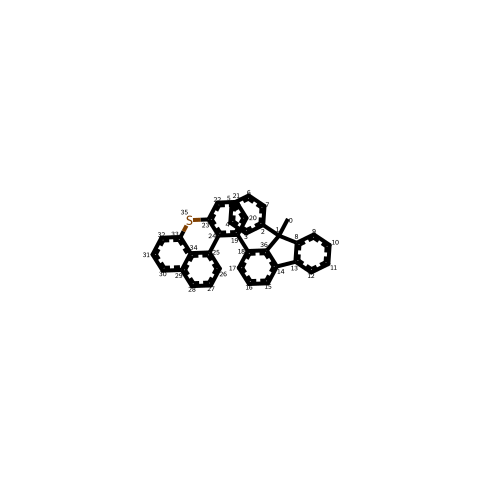 CC1(c2ccccc2)c2ccccc2-c2cccc(-c3cccc4c3-c3cccc5cccc(c35)S4)c21